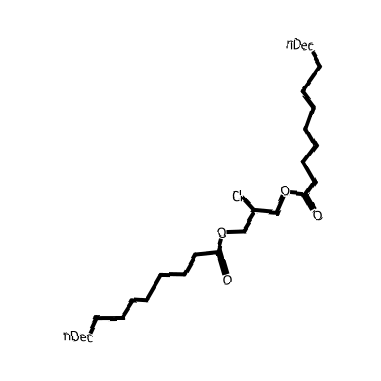 CCCCCCCCCCCCCCCCCC(=O)OCC(Cl)COC(=O)CCCCCCCCCCCCCCCCC